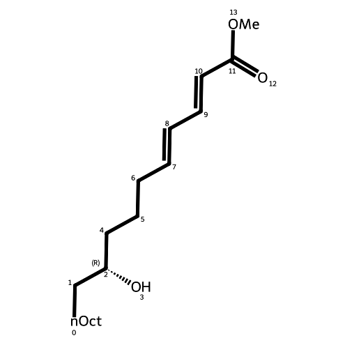 CCCCCCCCC[C@@H](O)CCCC=CC=CC(=O)OC